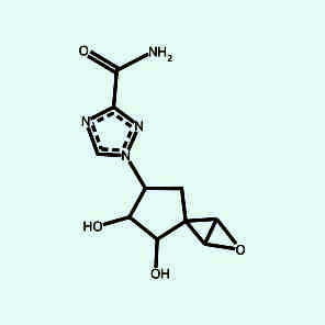 NC(=O)c1ncn(C2CC3(C(O)C2O)C2OC23)n1